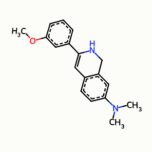 COc1cccc(C2=Cc3ccc(N(C)C)cc3CN2)c1